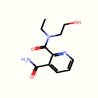 CCN(CCO)C(=O)c1ncccc1C(N)=O